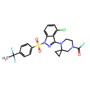 CC(F)(F)c1ccc(S(=O)(=O)n2nc(N3CCN(C(=O)F)CC34CC4)c3c(Cl)cccc32)cc1